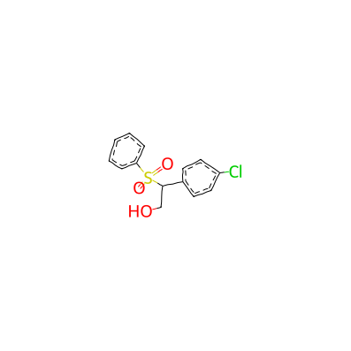 O=S(=O)(c1ccccc1)C(CO)c1ccc(Cl)cc1